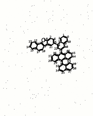 c1ccc2c(-c3ccc4oc5c6ccccc6ccc5c4c3)cc(-c3c4ccccc4c(-c4cccc5ccccc45)c4ccccc34)cc2c1